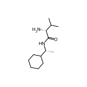 CC(C)[C@@H](N)C(=O)N[C@H](C)C1CCCCC1